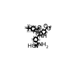 COC(=O)c1ccc(NC(=O)c2cccc(/C(N)=N\O)c2)c(NC(=O)c2ccc(C(C)(C)C)cc2)c1